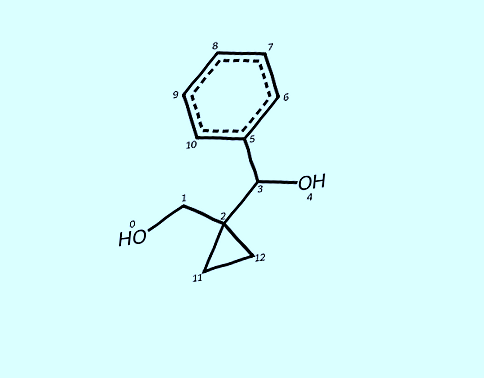 OCC1(C(O)c2ccccc2)CC1